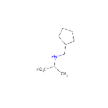 CC(NCC1CCCC1)C(=O)O